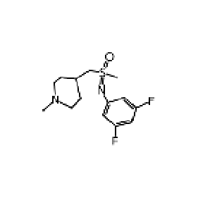 CN1CCC(CS(C)(=O)=Nc2cc(F)cc(F)c2)CC1